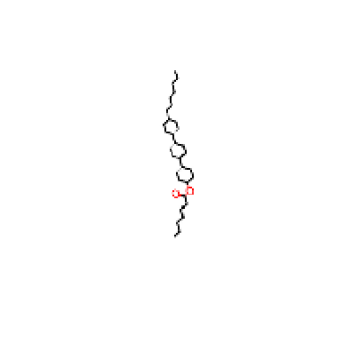 CCCCCCC[C@H]1CC[C@H]([C@H]2CC[C@H]([C@H]3CC[C@H](OC(=O)CCCCCC)CC3)CC2)CC1